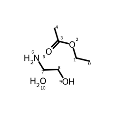 CCOC(C)=O.NCCO.O